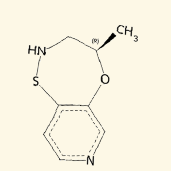 C[C@@H]1CNSc2ccncc2O1